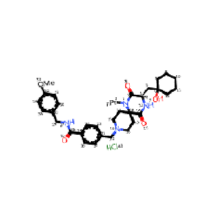 CCCN1C(=O)[C@@H](CC2(O)CCCCC2)NC(=O)C12CCN(Cc1ccc(C(=O)NCc3ccc(OC)cc3)cc1)CC2.Cl